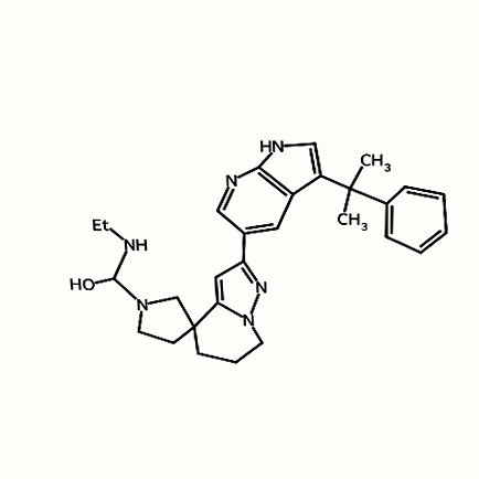 CCNC(O)N1CCC2(CCCn3nc(-c4cnc5[nH]cc(C(C)(C)c6ccccc6)c5c4)cc32)C1